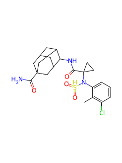 Cc1c(Cl)cccc1N([SH](=O)=O)C1(C(=O)NC2C3CC4CC2CC(C(N)=O)(C4)C3)CC1